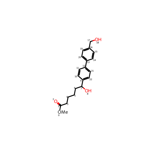 COC(=O)CCCCC(O)c1ccc(-c2ccc(CO)cc2)cc1